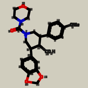 COc1ccc(C2CN(C(=O)N3CCOCC3)CC(c3ccc4c(c3)OCO4)C2C(=O)O)cc1